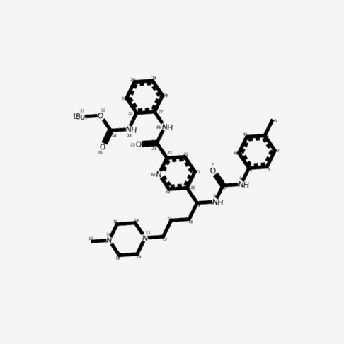 Cc1ccc(NC(=O)NC(CCCN2CCN(C)CC2)c2ccc(C(=O)Nc3ccccc3NC(=O)OC(C)(C)C)nc2)cc1